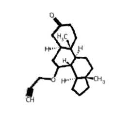 C#CCOC1C[C@H]2CC(=O)CC[C@]2(C)[C@H]2CC[C@]3(C)CCC[C@H]3[C@H]12